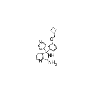 NC1NC(c2ccncc2)(c2cccc(OCC3CCC3)c2)c2cccnc21